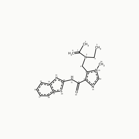 C=C(C)N(CC)Cc1c(C(=O)Nc2nc3ccccc3s2)ncn1C